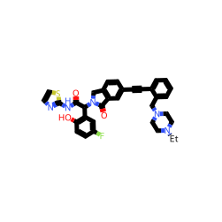 CCN1CCN(Cc2ccccc2C#Cc2ccc3c(c2)C(=O)N(C(C(=O)Nc2nccs2)c2cc(F)ccc2O)C3)CC1